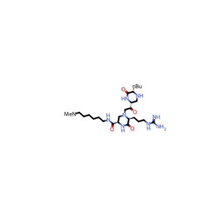 CCCC[C@@H]1NC[C@H](C(=O)CN2C[C@H](C(=O)NCCCCCCNC)NC(=O)[C@@H]2CCCNC(=N)N)NC1=O